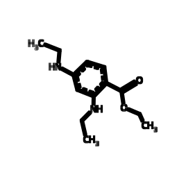 CCNc1ccc(C(=O)OCC)c(NCC)c1